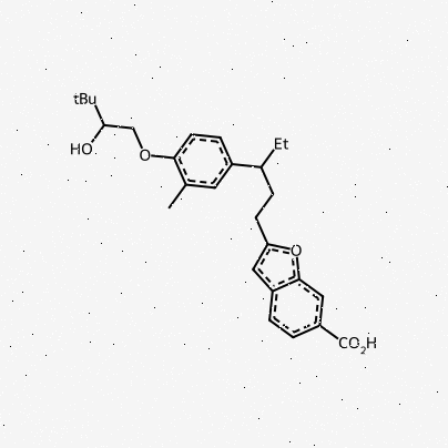 CCC(CCc1cc2ccc(C(=O)O)cc2o1)c1ccc(OCC(O)C(C)(C)C)c(C)c1